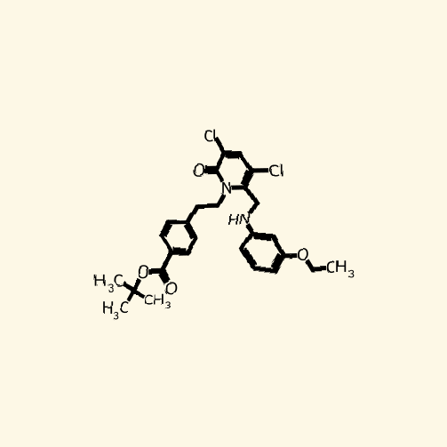 CCOc1cccc(NCc2c(Cl)cc(Cl)c(=O)n2CCc2ccc(C(=O)OC(C)(C)C)cc2)c1